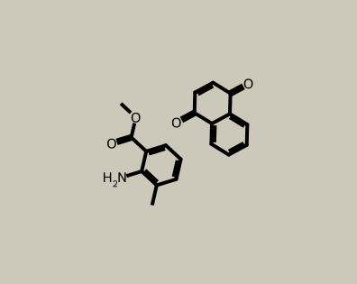 COC(=O)c1cccc(C)c1N.O=C1C=CC(=O)c2ccccc21